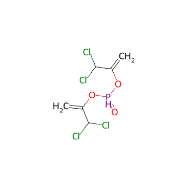 C=C(O[PH](=O)OC(=C)C(Cl)Cl)C(Cl)Cl